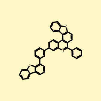 c1ccc(-c2nc3cc(-c4cccc(-c5cccc6c5sc5ccccc56)c4)ccc3c3c2ccc2oc4ccccc4c23)cc1